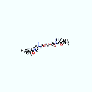 CC(C)(C)CCC(=O)N1CCC(NCCOCCOCCC(=O)NCCC(=O)C(C)(C)C)CC1